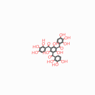 O=C(c1ccc(O)c(O)c1O)c1c(O)c(C(=O)c2ccc(O)c(O)c2O)c(O)c(C(=O)c2ccc(O)c(O)c2O)c1O